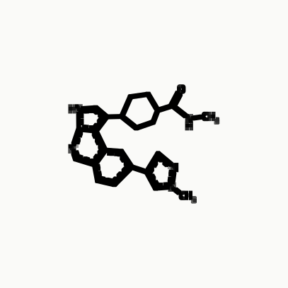 CNC(=O)C1CCC(c2c[nH]c3ncc4ccc(-c5cnn(C)c5)cc4c23)CC1